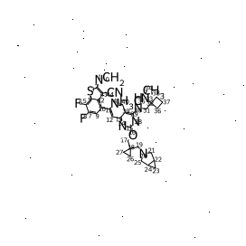 C=Nc1sc2c(F)c(F)cc(-c3cc4nc(OCC5(CN6CC7CC7C6)CC5)nc(NCC5(N(C)C)CCC5)c4cn3)c2c1C#N